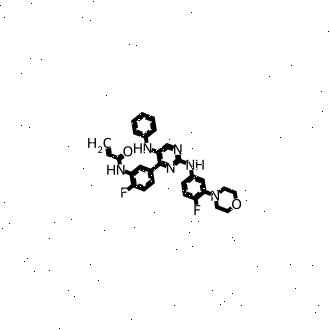 C=CC(=O)Nc1cc(-c2nc(Nc3ccc(F)c(N4CCOCC4)c3)ncc2Nc2ccccc2)ccc1F